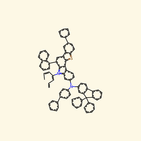 C=C/C=C(\C=C/C)n1c2cc(N(c3ccc(-c4ccccc4)cc3)c3ccc4c(c3)C(c3ccccc3)(c3ccccc3)c3ccccc3-4)ccc2c2c3sc4ccc(-c5ccccc5)cc4c3cc(-c3cccc4ccccc34)c21